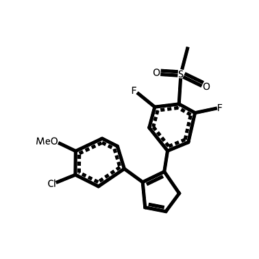 COc1ccc(C2=C(c3cc(F)c(S(C)(=O)=O)c(F)c3)CC=C2)cc1Cl